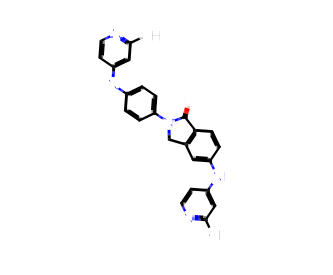 Cc1cc(Nc2ccc(N3Cc4cc(Nc5ccnc(C)c5)ccc4C3=O)cc2)ccn1